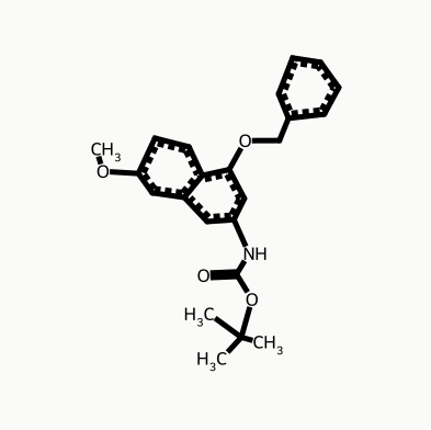 COc1ccc2c(OCc3ccccc3)cc(NC(=O)OC(C)(C)C)cc2c1